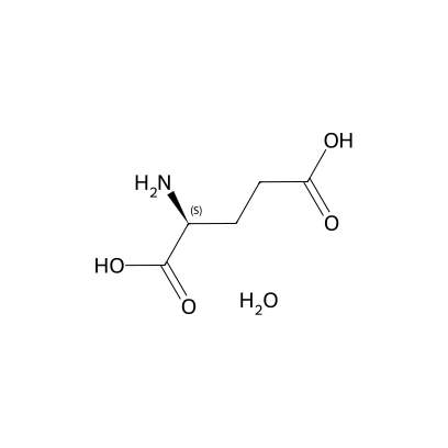 N[C@@H](CCC(=O)O)C(=O)O.O